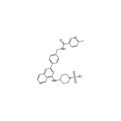 CCS(=O)(=O)N1CCC(Nc2cc(-c3ccc(CNC(=O)c4ccc(C)nc4)cc3)cc3ccncc23)CC1